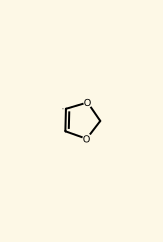 [C]1=COCO1